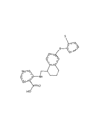 O=C(O)c1ccncc1NCC1CCCc2cc(Sc3ccccc3F)ccc21